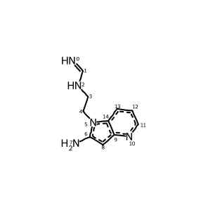 N=CNCCn1c(N)cc2ncccc21